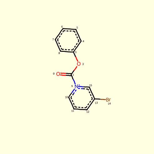 O=C(Oc1ccccc1)[n+]1cccc(Br)c1